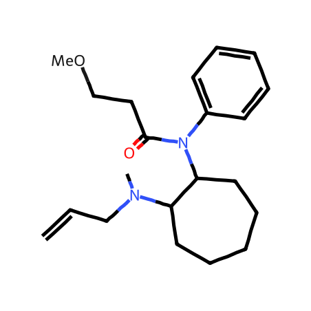 C=CCN(C)C1CCCCCC1N(C(=O)CCOC)c1ccccc1